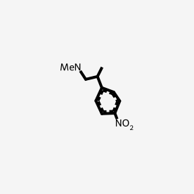 CNCC(C)c1ccc([N+](=O)[O-])cc1